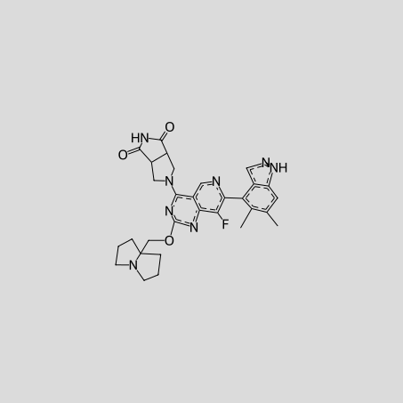 Cc1cc2[nH]ncc2c(-c2ncc3c(N4CC5C(=O)NC(=O)C5C4)nc(OCC45CCCN4CCC5)nc3c2F)c1C